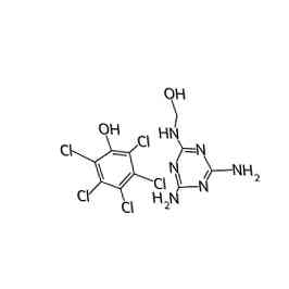 Nc1nc(N)nc(NCO)n1.Oc1c(Cl)c(Cl)c(Cl)c(Cl)c1Cl